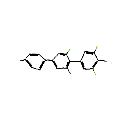 CC(=O)Oc1ccc(-c2cc(C)c(-c3cc(F)c(C#N)c(F)c3)c(F)c2)cc1